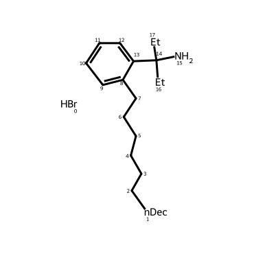 Br.CCCCCCCCCCCCCCCCc1ccccc1C(N)(CC)CC